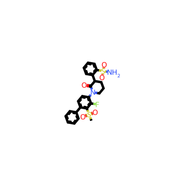 CS(=O)(=O)c1c(-c2ccccc2)ccc(N2CCCC(c3ccccc3S(N)(=O)=O)C2=O)c1F